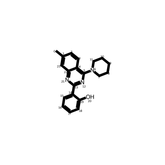 Cc1ccc2c(N3CC[CH]CC3)nc(-c3ccccc3O)nc2c1